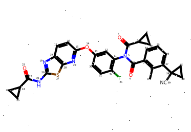 Cc1c(C(=O)N(C(=O)C2CC2)c2cc(Oc3ccc4nc(NC(=O)C5CC5)sc4n3)ccc2F)cccc1C1(C#N)CC1